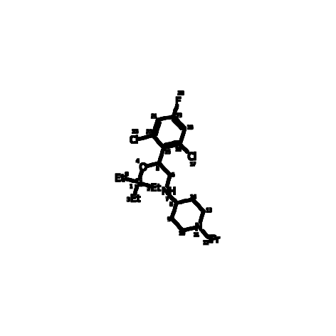 CC[Si](CC)(CC)OC(CNC1CCN(C(C)C)CC1)c1c(Cl)cc(F)cc1Cl